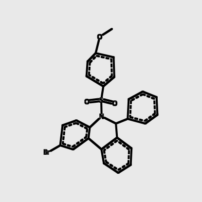 COc1ccc(S(=O)(=O)N2c3ccc(Br)cc3-c3ccccc3C2c2ccccc2)cc1